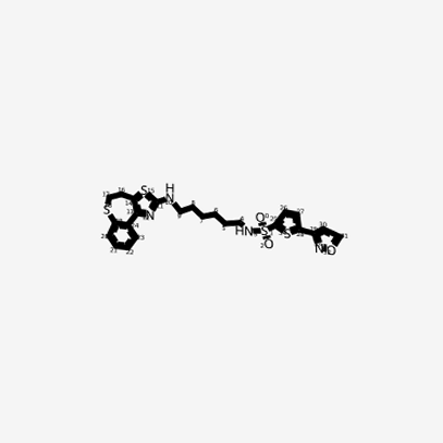 O=S(=O)(NCCCCCCNc1nc2c(s1)CCSc1ccccc1-2)c1ccc(-c2ccon2)s1